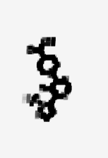 Cn1nccc1-c1ncnc(N2CCC(C(=O)O)CC2)c1F